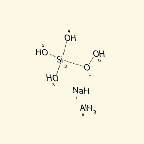 OO[Si](O)(O)O.[AlH3].[NaH]